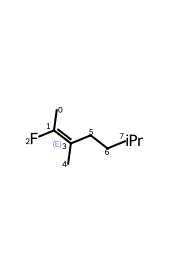 C/C(F)=C(/C)CCC(C)C